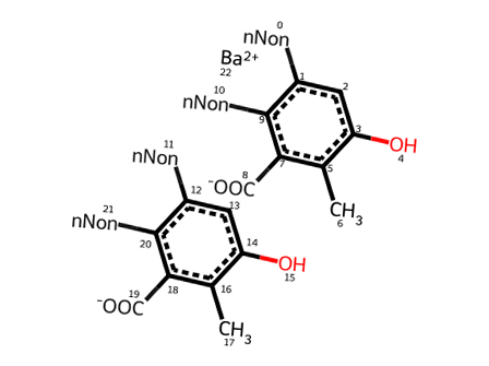 CCCCCCCCCc1cc(O)c(C)c(C(=O)[O-])c1CCCCCCCCC.CCCCCCCCCc1cc(O)c(C)c(C(=O)[O-])c1CCCCCCCCC.[Ba+2]